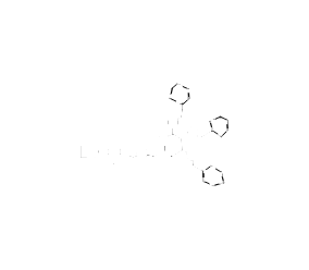 CCOC(=O)COC[C@H]1OC(OCc2ccccc2)[C@H](OCc2ccccc2)[C@@H](OCc2ccccc2)[C@@H]1C